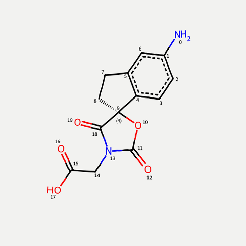 Nc1ccc2c(c1)CC[C@@]21OC(=O)N(CC(=O)O)C1=O